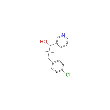 CC(C)(Cc1ccc(Cl)cc1)C(O)c1cccnc1